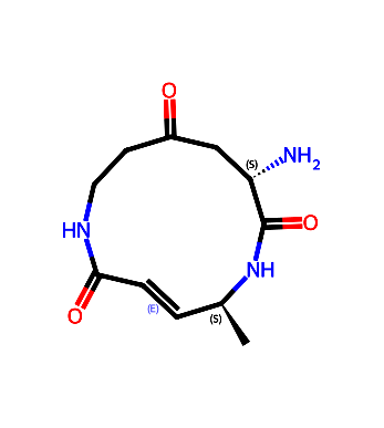 C[C@H]1/C=C/C(=O)NCCC(=O)C[C@H](N)C(=O)N1